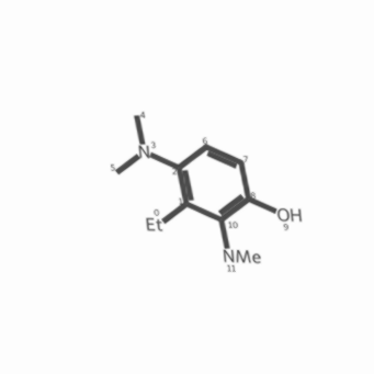 CCc1c(N(C)C)ccc(O)c1NC